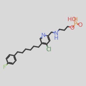 O=[PH](O)OCCCNCc1cc(Cl)c(CCCCCCc2ccc(F)cc2)cn1